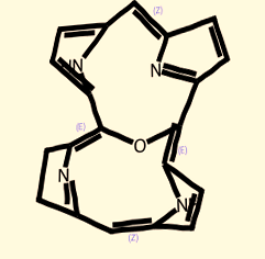 C1=C/C2=C/c3ccc([nH]3)/C3=C4/CCC(=N4)/C=c4/cc/c([nH]4)=C(\O3)C1=N2